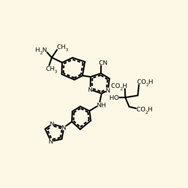 CC(C)(N)c1ccc(-c2nc(Nc3ccc(-n4cncn4)cc3)ncc2C#N)cc1.O=C(O)CC(O)(CC(=O)O)C(=O)O